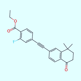 CCOC(=O)c1ccc(C#Cc2ccc3c(c2)C(C)(C)CCC3=O)cc1F